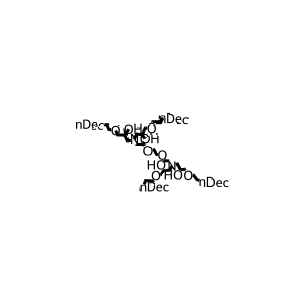 CCCCCCCCCCCCOCC(O)CN(CCOCCOCCN(CC(O)COCCCCCCCCCCCC)CC(O)COCCCCCCCCCCCC)CC(O)COCCCCCCCCCCCC